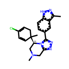 Cc1n[nH]c2ccc(-c3nnc4n3[C@H](C3(C)C=CC(Cl)=CC3)CN(C)C4)cc12